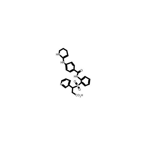 O=C(O)CC(c1cccnc1)S(=O)(=O)c1ccccc1NC(=O)c1ccc(NC2=CCCCN2)cc1